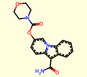 NC(=O)c1c2ccccc2n2cc(OC(=O)N3CCOCC3)ccc12